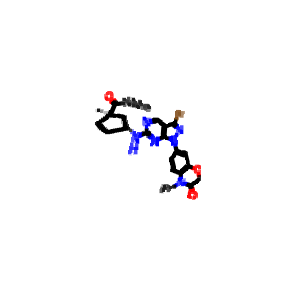 CNC(=O)[C@]1(C)CC[C@@H](Nc2ncc3c(Br)nn(-c4ccc5c(c4)OCC(=O)N5C(C)C)c3n2)C1